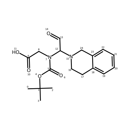 CC(C)(C)OC(=O)N(CC(=O)O)C(C=O)N1CCc2ccccc2C1